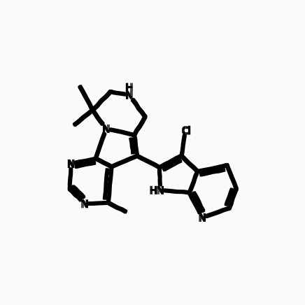 Cc1ncnc2c1c(-c1[nH]c3ncccc3c1Cl)c1n2C(C)(C)CNC1